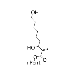 C=C(C(=O)OCCCCC)C(O)CCCCCCO